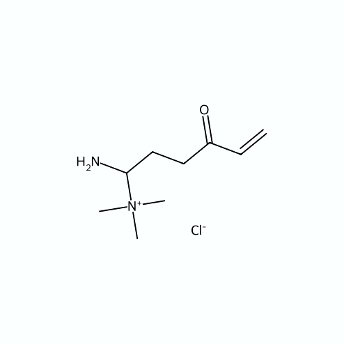 C=CC(=O)CCC(N)[N+](C)(C)C.[Cl-]